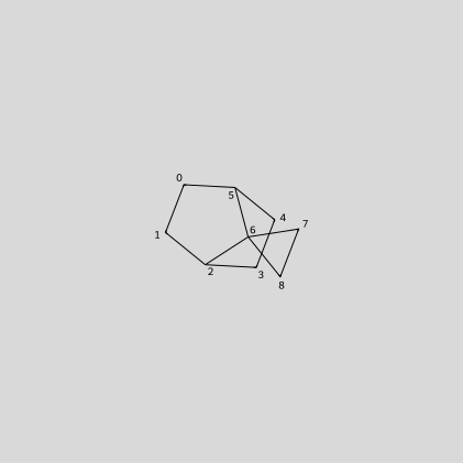 C1CC2CCC1C21CC1